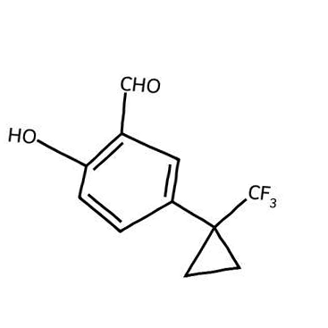 O=Cc1cc(C2(C(F)(F)F)CC2)ccc1O